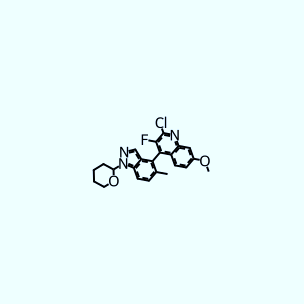 COc1ccc2c(-c3c(C)ccc4c3cnn4C3CCCCO3)c(F)c(Cl)nc2c1